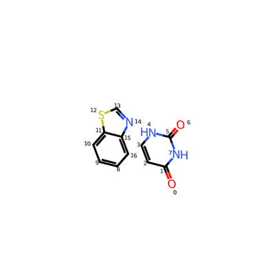 O=c1cc[nH]c(=O)[nH]1.c1ccc2scnc2c1